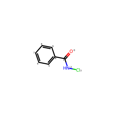 O=C(NCl)c1ccccc1